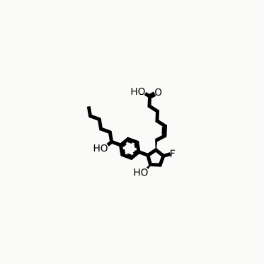 CCCCCC(O)c1ccc(C2[C@@H](C/C=C\CCCC(=O)O)C(F)C[C@H]2O)cc1